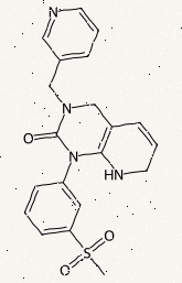 CS(=O)(=O)c1cccc(N2C(=O)N(Cc3cccnc3)CC3=C2NCC=C3)c1